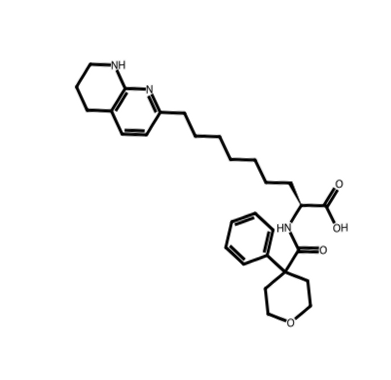 O=C(O)[C@H](CCCCCCCc1ccc2c(n1)NCCC2)NC(=O)C1(c2ccccc2)CCOCC1